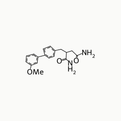 COc1cccc(-c2ccc(CC(CC(N)=O)C(N)=O)cc2)c1